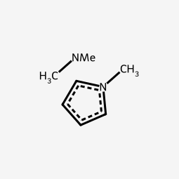 CNC.Cn1cccc1